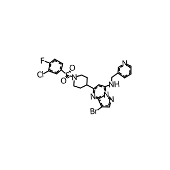 O=S(=O)(c1ccc(F)c(Cl)c1)N1CCC(c2cc(NCc3cccnc3)n3ncc(Br)c3n2)CC1